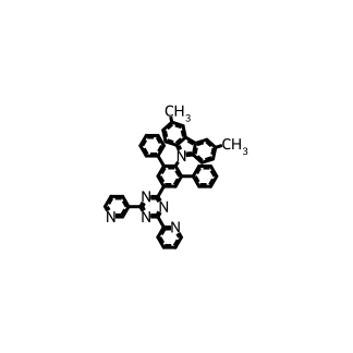 Cc1ccc2c(c1)c1cc(C)ccc1n2-c1c(-c2ccccc2)cc(-c2nc(-c3cccnc3)nc(-c3ccccn3)n2)cc1-c1ccccc1